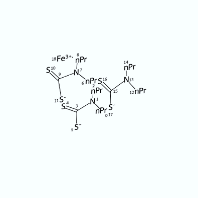 CCCN(CCC)C(=S)[S-].CCCN(CCC)C(=S)[S-].CCCN(CCC)C(=S)[S-].[Fe+3]